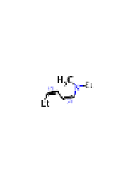 CC/C=C\C=C/N(C)CC